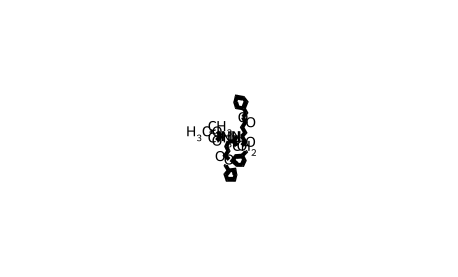 C=C(NC(CCC(=O)OCc1ccccc1)C(=O)OCc1ccccc1)C(CCC(=O)OCc1ccccc1)NC(=O)OC(C)(C)C